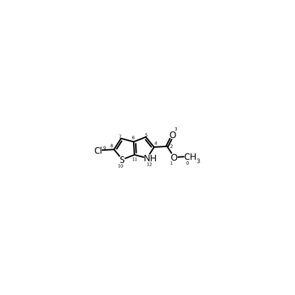 COC(=O)c1cc2cc(Cl)sc2[nH]1